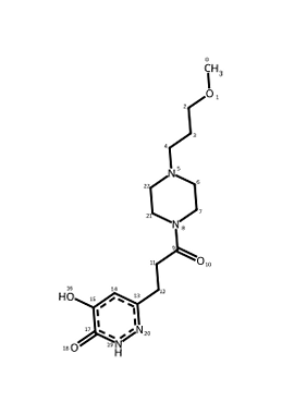 COCCCN1CCN(C(=O)CCc2cc(O)c(=O)[nH]n2)CC1